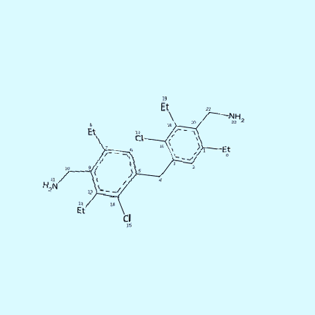 CCc1cc(Cc2cc(CC)c(CN)c(CC)c2Cl)c(Cl)c(CC)c1CN